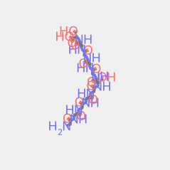 NCC(=O)NCC(=O)NCC(=O)NCC(=O)NCC(=O)N[C@@H](CO)C(=O)NCC(=O)NCC(=O)NCC(=O)NCC(=O)N[C@@H](CO)C(=O)O